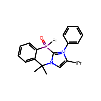 CCP1(=O)c2ccccc2C(C)(C)n2cc(C(C)C)[n+](-c3ccccc3)c21